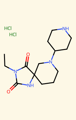 CCN1C(=O)NC2(CCCN(C3CCNCC3)C2)C1=O.Cl.Cl